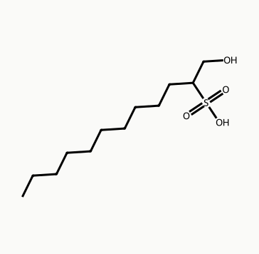 CCCCCCCCCCC(CO)S(=O)(=O)O